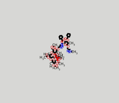 CC(=O)OC[C@H]1O[C@H](O[C@H]2[C@H](OC(C)=O)[C@@H](C)[C@@H](O[C@H]3[C@H](OC(C)=O)[C@@H](C)[C@H](OCc4cn(C[C@H]5O[C@H](OCc6cn(C)nn6)[C@@H](C)[C@@H](OC(=O)c6ccccc6)[C@@H]5OC(=O)c5ccccc5)nn4)O[C@@H]3COC(C)=O)O[C@@H]2COC(C)=O)[C@H](C)[C@@H](OC(C)=O)[C@@H]1OC(C)=O